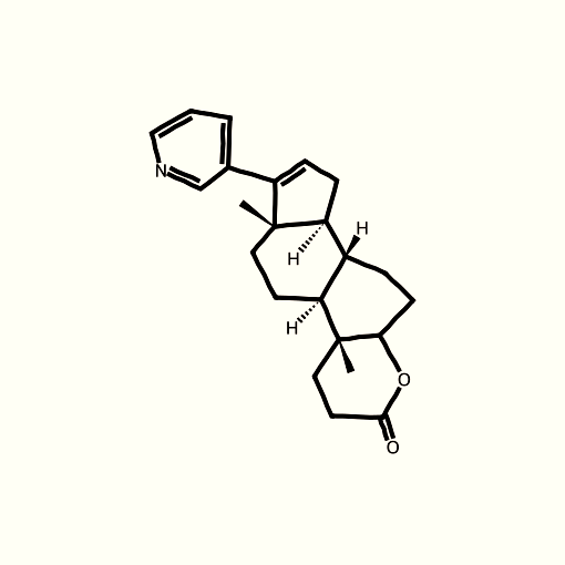 C[C@]12CCC(=O)OC1CC[C@@H]1[C@@H]2CC[C@]2(C)C(c3cccnc3)=CC[C@@H]12